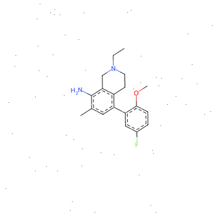 CCN1CCc2c(-c3cc(F)ccc3OC)cc(C)c(N)c2C1